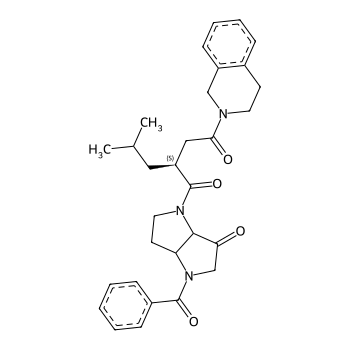 CC(C)C[C@@H](CC(=O)N1CCc2ccccc2C1)C(=O)N1CCC2C1C(=O)CN2C(=O)c1ccccc1